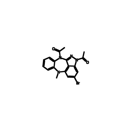 CC(=O)N1c2ccccc2N(C)c2cc(Br)cc3c2c1nn3C(C)=O